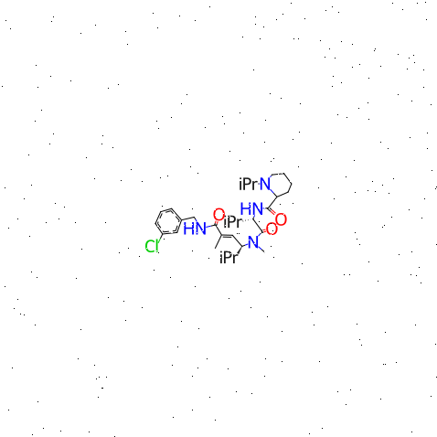 C/C(=C\[C@H](C(C)C)N(C)C(=O)[C@@H](NC(=O)C1CCCCN1C(C)C)C(C)C)C(=O)NCc1cccc(Cl)c1